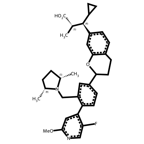 COc1cc(-c2ccc(C3CCc4ccc([C@H](C5CC5)[C@H](C)C(=O)O)cc4O3)cc2CN2[C@H](C)CC[C@@H]2C)c(F)cn1